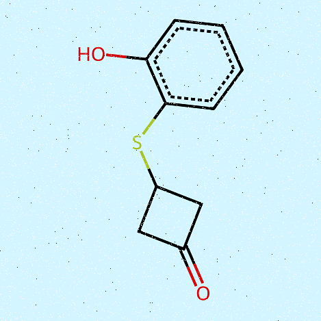 O=C1CC(Sc2ccccc2O)C1